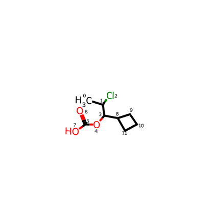 CC(Cl)C(OC(=O)O)C1CCC1